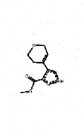 COC(=O)c1n[nH]cc1C1=CCOCC1